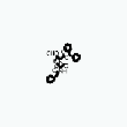 O=CC1=C(C(=O)OC(c2ccccc2)c2ccccc2)N2C(=O)C(NC(=O)Cc3ccccc3)[C@@H]2SC1